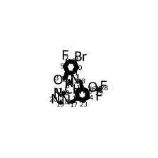 Cn1c(=O)c2cc(F)c(Br)cc2n1Cc1cc(Cn2cnnc2)ccc1OC(F)F